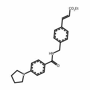 CCOC(=O)C=Cc1ccc(CNC(=O)c2ccc(N3CCCC3)cc2)cc1